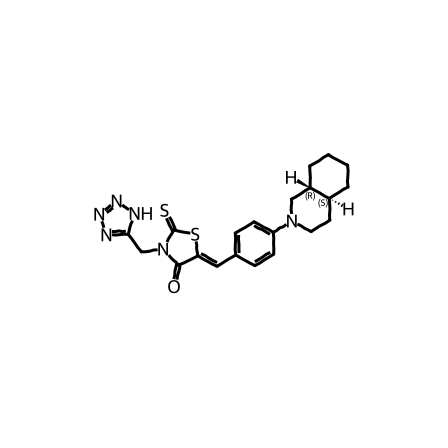 O=C1C(=Cc2ccc(N3CC[C@@H]4CCCC[C@H]4C3)cc2)SC(=S)N1Cc1nnn[nH]1